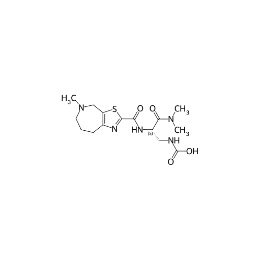 CN1CCCc2nc(C(=O)N[C@@H](CNC(=O)O)C(=O)N(C)C)sc2C1